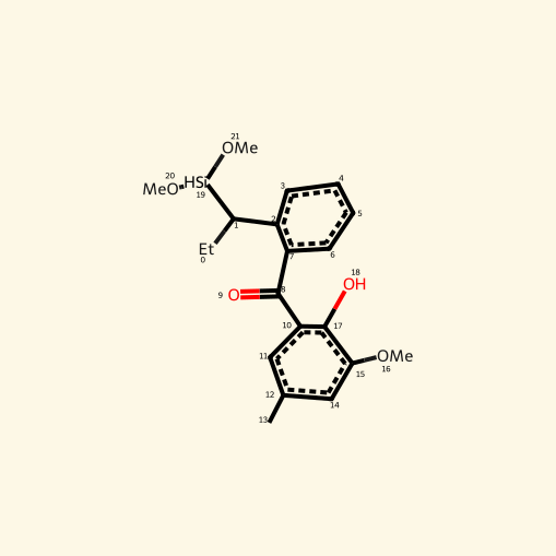 CCC(c1ccccc1C(=O)c1cc(C)cc(OC)c1O)[SiH](OC)OC